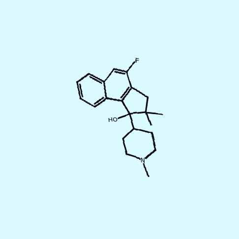 CN1CCC(C2(O)c3c(c(F)cc4ccccc34)CC2(C)C)CC1